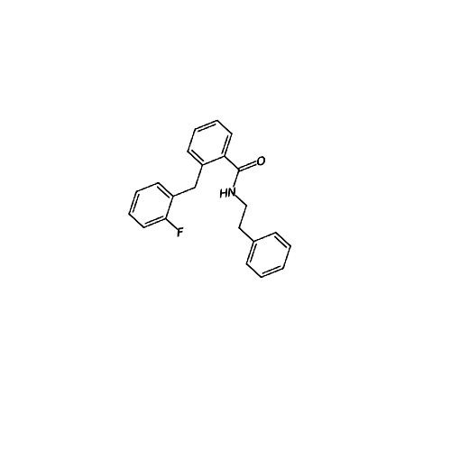 O=C(NCCc1ccccc1)c1ccccc1Cc1ccccc1F